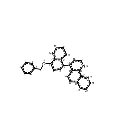 c1ccc(COc2ccc(-c3ccnc4c3ccc3cccnc34)c3cccnc23)cc1